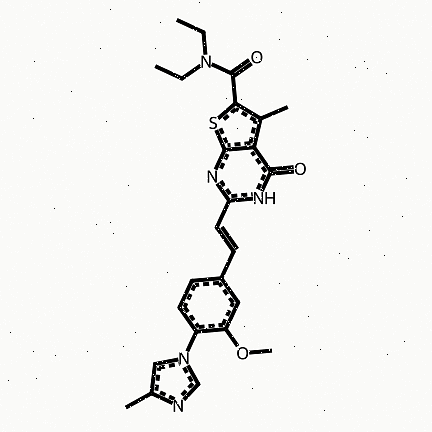 CCN(CC)C(=O)c1sc2nc(/C=C/c3ccc(-n4cnc(C)c4)c(OC)c3)[nH]c(=O)c2c1C